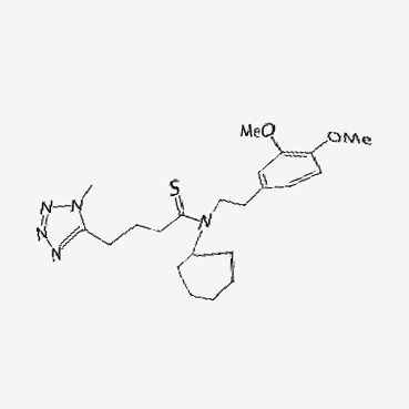 COc1ccc(CCN(C(=S)CCCc2nnnn2C)C2CCCCC2)cc1OC